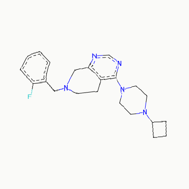 Fc1ccccc1CN1CCc2c(ncnc2N2CCN(C3CCC3)CC2)C1